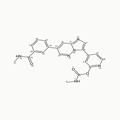 CNC(=O)Oc1cc(-c2cnc3cc(-c4cccc(C(=O)NC)c4)cnn23)ccn1